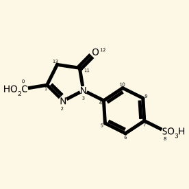 O=C(O)C1=NN(c2ccc(S(=O)(=O)O)cc2)C(=O)C1